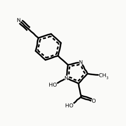 Cc1nc(-c2ccc(C#N)cc2)n(O)c1C(=O)O